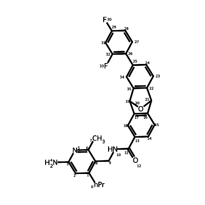 CCCc1cc(N)nc(C)c1CNC(=O)c1ccc2c(c1)C1OC2c2ccc(-c3ccc(F)cc3F)cc21